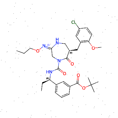 CCCO/N=C1\CN(C(=O)N[C@H](CC)c2cccc(C(=O)OC(C)(C)C)c2)C(=O)[C@H](Cc2cc(Cl)ccc2OC)CN1